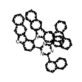 c1ccc2cc3c(cc2c1)oc1ccc(-c2nc(-c4cccc5ccccc45)nc(-c4cc5ccccc5c5ccccc45)n2)c(-n2c4cc5ccccc5cc4c4cc5ccccc5cc42)c13